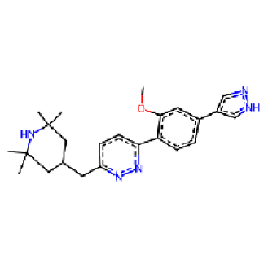 COc1cc(-c2cn[nH]c2)ccc1-c1ccc(CC2CC(C)(C)NC(C)(C)C2)nn1